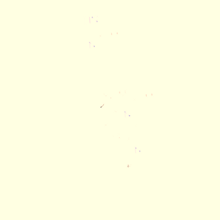 CNC(=O)Nc1ccc2c(c1)CC[C@]21OC(=O)N(CC(=O)N2CCC[C@@H]2c2ccccc2)C1=O